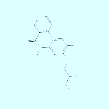 CC(C)CC(N)COc1cc2c(cc1Br)c1ccncc1c(=O)n2C